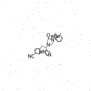 CCCC[N@@+]1(c2cccc(C)c2C)CCN(C(Cc2ccc(C#N)cc2)c2cnc[nH]2)CC1=O